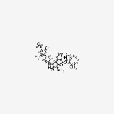 C=C1CCCCCN2CCN(c3nccc(-c4cc(Nc5ccc(N6C[C@@H](C)N(C7COC7)C[C@@H]6C)cn5)c(=O)n(C)c4)c3CO)C(=O)/C2=C/1F